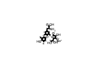 N[C@@H](Cc1cc(I)c(Oc2cc(I)c(O)c(I)c2)c(I)c1)C(=O)O.O=C1O[C@H]([C@@H](O)CO)C([O-])=C1O.[Na+]